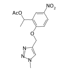 CC(=O)OC(C)c1cc([N+](=O)[O-])ccc1OCc1cn(C)nn1